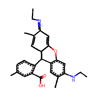 CC/N=C1/C=C2Oc3cc(NCC)c(C)cc3C(c3ccc(C)cc3C(=O)O)C2C=C1C